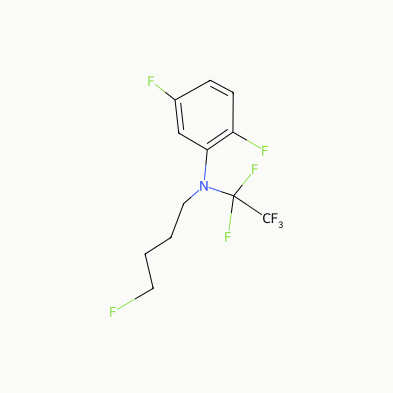 FCCCCN(c1cc(F)ccc1F)C(F)(F)C(F)(F)F